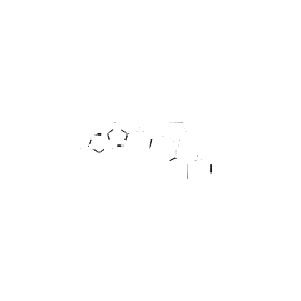 COC(=O)N[C@H](C(=O)N1CCCC1C(=O)Nc1cn2cc(Br)sc2n1)C(C)C